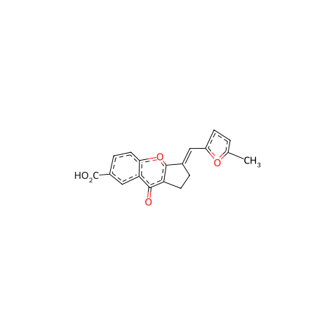 Cc1ccc(C=C2CCc3c2oc2ccc(C(=O)O)cc2c3=O)o1